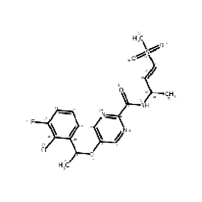 CC(Oc1cnc(C(=O)N[C@H](C)/C=C/S(C)(=O)=O)nc1)c1cccc(F)c1Cl